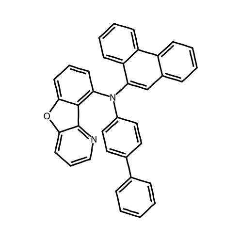 c1ccc(-c2ccc(N(c3cc4ccccc4c4ccccc34)c3cccc4oc5cccnc5c34)cc2)cc1